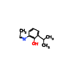 C/C=N\c1cccc(C(C)C)c1O